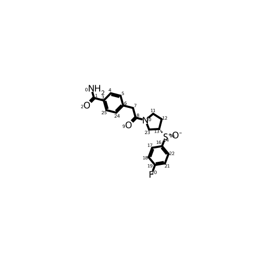 NC(=O)c1ccc(CC(=O)N2CC[C@H]([S+]([O-])c3ccc(F)cc3)C2)cc1